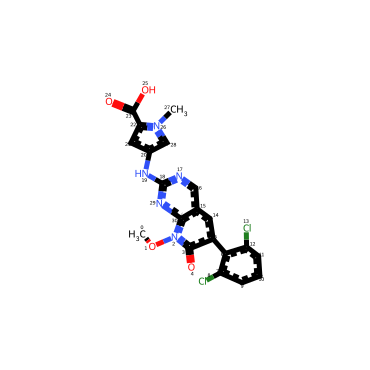 COn1c(=O)c(-c2c(Cl)cccc2Cl)cc2cnc(Nc3cc(C(=O)O)n(C)c3)nc21